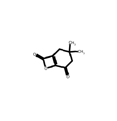 CC1(C)CC(=O)C2=C(C1)C(=O)O2